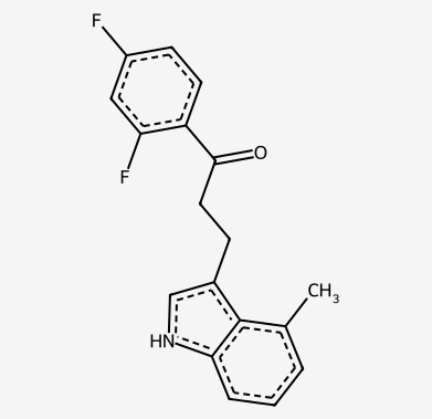 Cc1cccc2[nH]cc(CCC(=O)c3ccc(F)cc3F)c12